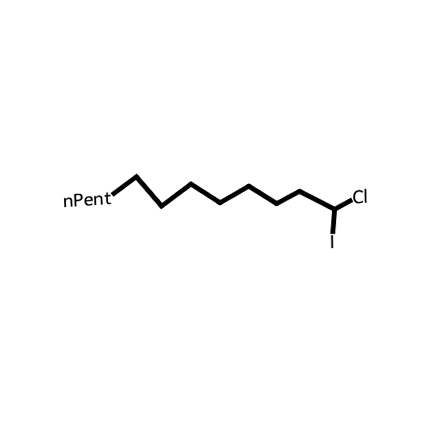 CCCCCCCCCCCCC(Cl)I